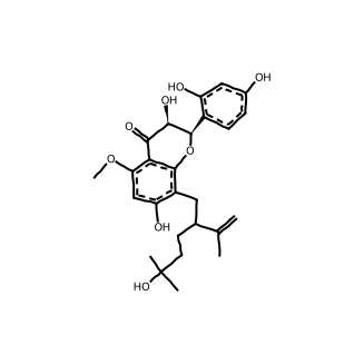 C=C(C)C(CCC(C)(C)O)Cc1c(O)cc(OC)c2c1O[C@H](c1ccc(O)cc1O)[C@H](O)C2=O